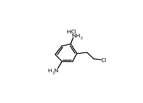 Cl.Nc1ccc(N)c(CCCl)c1